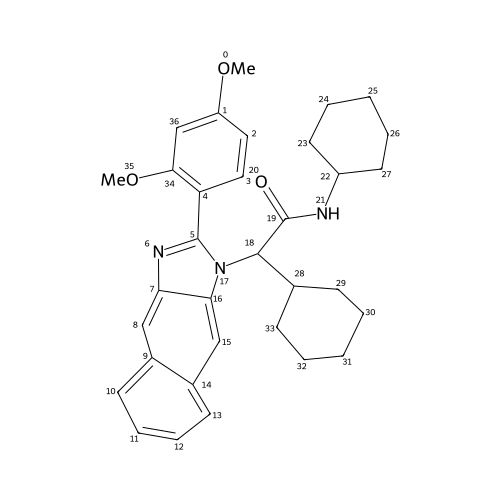 COc1ccc(-c2nc3cc4ccccc4cc3n2C(C(=O)NC2CCCCC2)C2CCCCC2)c(OC)c1